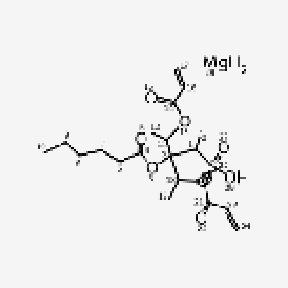 [CH2]C(C(OC(=O)CCCCC)(C(C)OC(=O)C=C)C(C)OC(=O)C=C)S(=O)(=O)O.[MgH2]